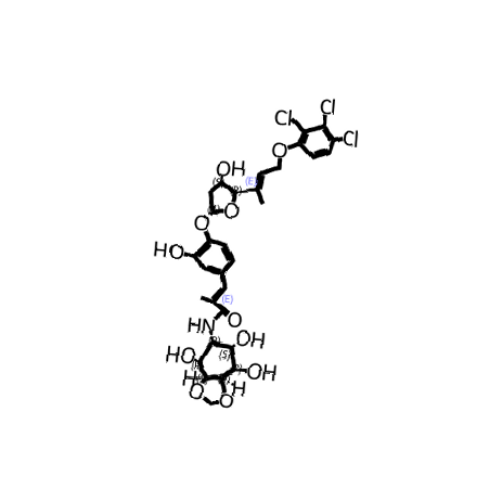 C/C(=C\c1ccc(O[C@H]2C[C@H](O)[C@@H](/C(C)=C/COc3ccc(Cl)c(Cl)c3Cl)O2)c(O)c1)C(=O)N[C@@H]1[C@H](O)[C@@H](O)[C@H]2OCO[C@H]2[C@@H]1O